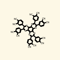 N#Cc1ccc(-c2nc3c4nc(-c5ccc(C#N)c(C#N)c5)c(-c5ccc(C#N)c(C#N)c5)nc4c4nc(-c5ccc(C#N)c(C#N)c5)c(-c5ccc(C#N)c(C#N)c5)nc4c3nc2-c2ccc(C#N)c(C#N)c2)cc1C#N